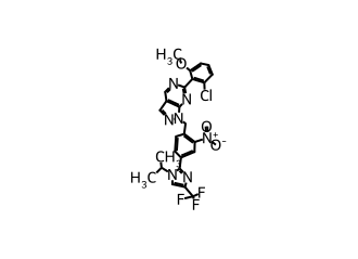 COc1cccc(Cl)c1-c1ncc2cnn(Cc3ccc(-c4nc(C(F)(F)F)cn4C(C)C)cc3[N+](=O)[O-])c2n1